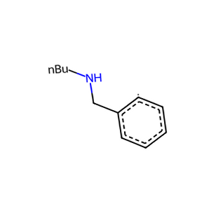 CCCCNCc1[c]cccc1